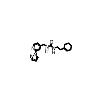 O=C(NCCC1=CCCCC1)NCc1ccnc(-n2cccn2)c1